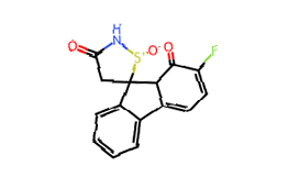 O=C1CC2(c3ccccc3C3=CC=C(F)C(=O)C32)[S+]([O-])N1